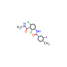 CNC(=O)c1c(F)ccc(NC(=O)c2ccc(C)c(I)c2)c1F